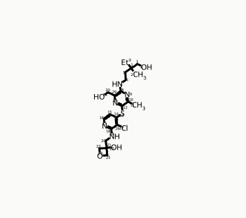 CCC(C)(CO)CCNc1nc(C)c(Sc2ccnc(NCC3(O)COC3)c2Cl)nc1CO